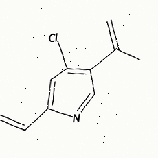 C=Cc1cc(Cl)c(C(=C)C)cn1